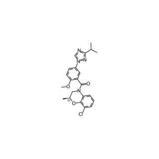 COc1ccc(-n2cnc(C(C)C)n2)cc1C(=O)N1C[C@H](C)Oc2c(Cl)cccc21